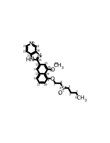 CCCC[S+]([O-])CCOc1cccc2cc(-c3nc4cnccc4[nH]3)cc(OC)c12